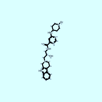 CC(=O)N1CCC(Nc2cc(C(=O)NC[C@H](O)CN3CCc4c([nH]c5ccccc45)C3)ncn2)CC1